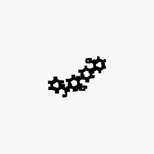 Cl.Clc1ccccc1N1CCN(C2CCN(C(I)c3ccccc3)CC2)CC1